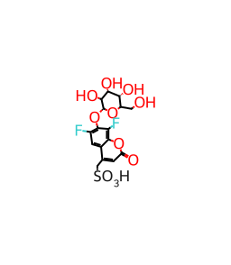 O=c1cc(CS(=O)(=O)O)c2cc(F)c(O[C@@H]3OC(CO)[C@@H](O)[C@@H](O)C3O)c(F)c2o1